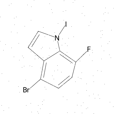 Fc1ccc(Br)c2ccn(I)c12